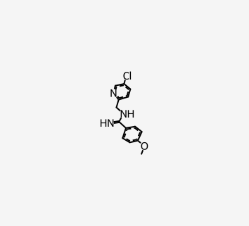 COc1ccc(C(=N)NCc2ccc(Cl)cn2)cc1